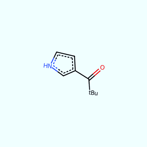 CC(C)(C)C(=O)c1cc[nH]c1